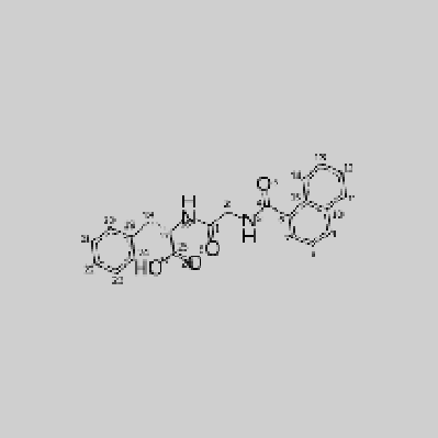 O=C(CNC(=O)c1cccc2ccccc12)N[C@@H](Cc1ccccc1)C(=O)O